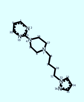 c1cnc(N2CCN(CCCCn3cccn3)CC2)nc1